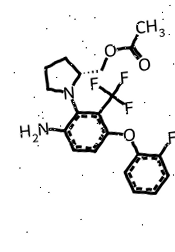 CC(=O)OC[C@H]1CCCN1c1c(N)ccc(Oc2ccccc2F)c1C(F)(F)F